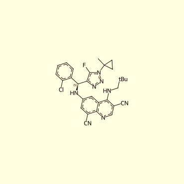 CC(C)(C)CNc1c(C#N)cnc2c(C#N)cc(N[C@@H](c3ccccc3Cl)c3nnn(C4(C)CC4)c3F)cc12